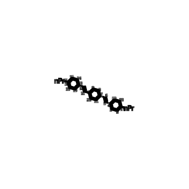 CCC[C@H]1CC[C@H](C=C[C@H]2CC[C@H](C=C[C@H]3CC[C@H](CCC)CC3)CC2)CC1